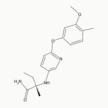 CC[C@](C)(Nc1ccc(Oc2ccc(C)c(OC)c2)nc1)C(N)=O